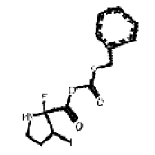 O=C(OCc1ccccc1)OC(=O)[C@@]1(F)NCCC1I